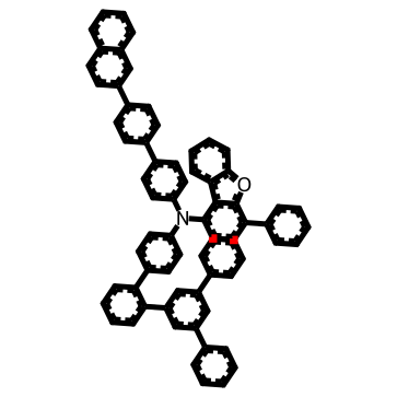 c1ccc(-c2cc(-c3ccccc3)cc(-c3ccccc3-c3ccc(N(c4ccc(-c5ccc(-c6ccc7ccccc7c6)cc5)cc4)c4ccc(-c5ccccc5)c5oc6ccccc6c45)cc3)c2)cc1